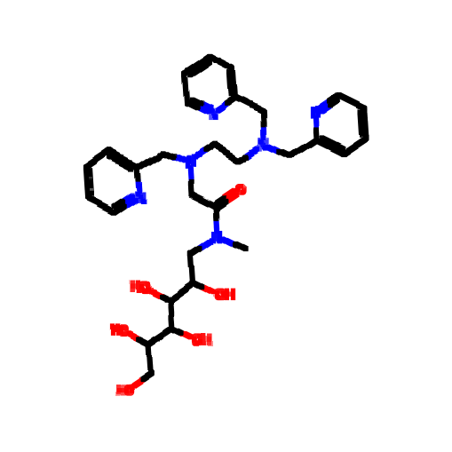 CN(CC(O)C(O)C(O)C(O)CO)C(=O)CN(CCN(Cc1ccccn1)Cc1ccccn1)Cc1ccccn1